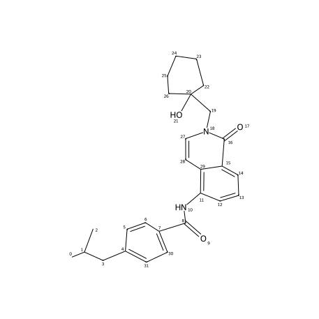 CC(C)Cc1ccc(C(=O)Nc2cccc3c(=O)n(CC4(O)CCCCC4)ccc23)cc1